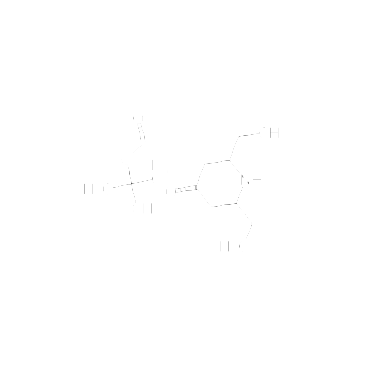 CC(C)(C)OC=O.CCC1CC(=O)CC(CC)N1